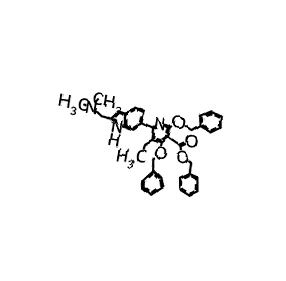 CCc1c(-c2ccc3cc(CN(C)C)[nH]c3c2)nc(OCc2ccccc2)c(C(=O)OCc2ccccc2)c1OCc1ccccc1